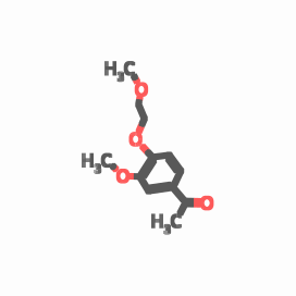 COCCOc1ccc(C(C)=O)cc1OC